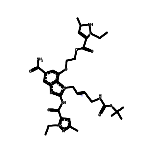 CCN1NC(C)C=C1C(=O)OCCOc1cc(C(N)=O)cc2nc(NC(=O)c3cc(C)nn3CC)n(C/C=C/CNC(=O)OC(C)(C)C)c12